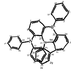 c1ccc(B2c3cccc(N(c4ccccc4)c4ccccc4)c3-n3c4ccccc4c4cccc2c43)cc1